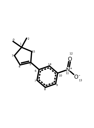 CC1(C)CC=C(c2cccc([N+](=O)[O-])c2)C1